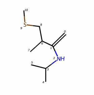 C=C(NC(C)C)C(C)CSC